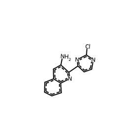 Nc1cc2ccccc2nc1-c1ccnc(Cl)n1